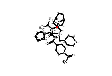 CC(=O)N1CCC(C(=O)N[C@@H](CCN2C3CCC2CC2(C3)CN(CC3CCOCC3)C(=O)N2C(C)C)c2ccccc2)CC1